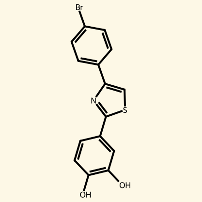 Oc1ccc(-c2nc(-c3ccc(Br)cc3)cs2)cc1O